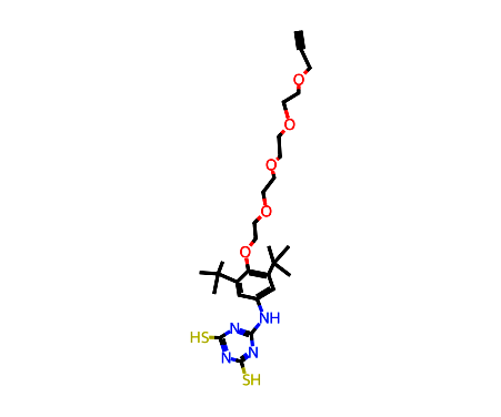 C#CCOCCOCCOCCOCCOc1c(C(C)(C)C)cc(Nc2nc(S)nc(S)n2)cc1C(C)(C)C